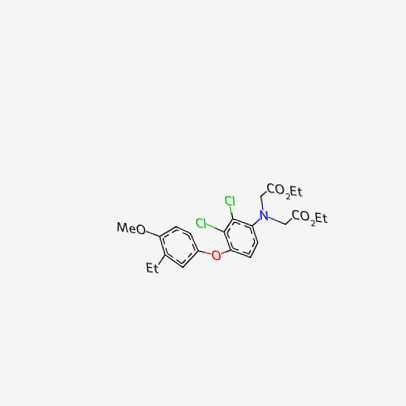 CCOC(=O)CN(CC(=O)OCC)c1ccc(Oc2ccc(OC)c(CC)c2)c(Cl)c1Cl